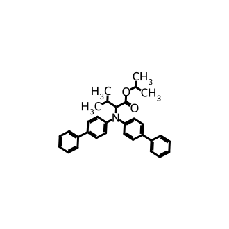 CC(C)OC(=O)C(C(C)C)N(c1ccc(-c2ccccc2)cc1)c1ccc(-c2ccccc2)cc1